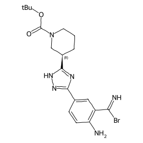 CC(C)(C)OC(=O)N1CCC[C@@H](c2nc(-c3ccc(N)c(C(=N)Br)c3)n[nH]2)C1